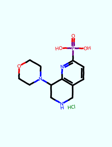 Cl.O=P(O)(O)c1ccc2c(n1)C(N1CCOCC1)CNC2